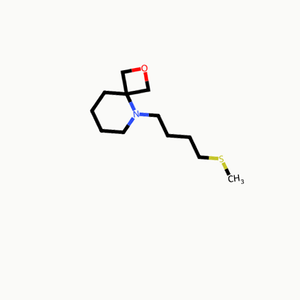 CSCCCCN1CCCCC12COC2